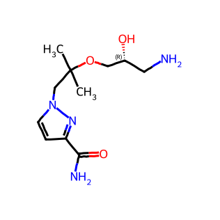 CC(C)(Cn1ccc(C(N)=O)n1)OC[C@H](O)CN